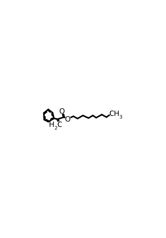 C=C(C(=O)OCCCCCCCCC)c1ccccc1